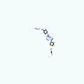 CCc1cc(Nc2nccn3c(-c4ccc(OCC#CCO)c(F)c4F)cnc23)ccc1C(=O)NCCCN